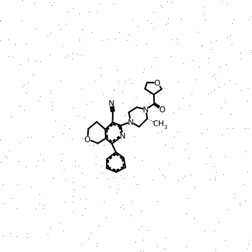 C[C@@H]1CN(c2nc(-c3ccccc3)c3c(c2C#N)CCOC3)CCN1C(=O)C1CCOC1